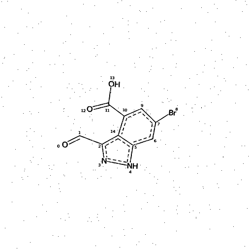 O=Cc1n[nH]c2cc(Br)cc(C(=O)O)c12